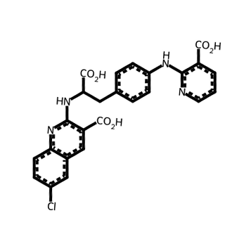 O=C(O)c1cccnc1Nc1ccc(CC(Nc2nc3ccc(Cl)cc3cc2C(=O)O)C(=O)O)cc1